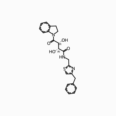 O=C(NCc1nc(Cc2ccccc2)cs1)[C@H](O)[C@@H](O)C(=O)N1CCc2ccccc21